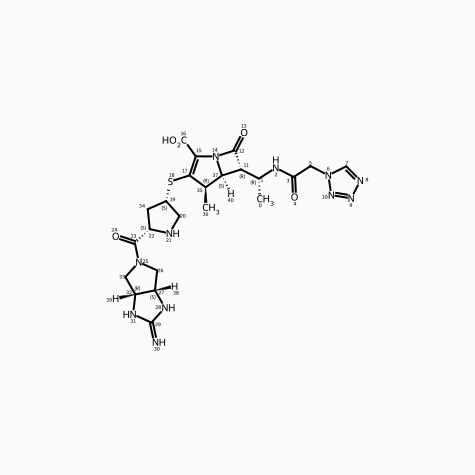 C[C@@H](NC(=O)Cn1cnnn1)[C@H]1C(=O)N2C(C(=O)O)=C(S[C@@H]3CN[C@H](C(=O)N4C[C@@H]5NC(=N)N[C@@H]5C4)C3)[C@H](C)[C@H]12